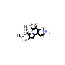 CCCC1=CC2C(/C=C\N)=C(C)C(C)=C(C)[N+]2=C1[SiH2]C